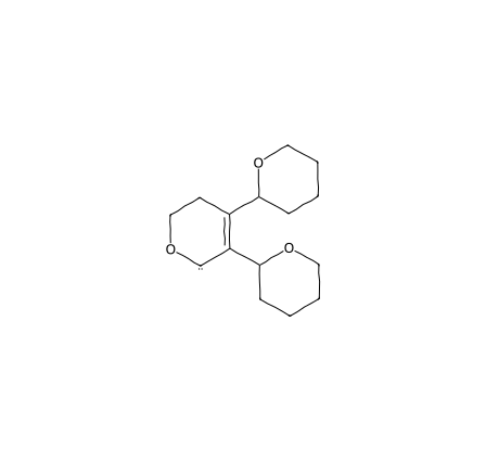 [C]1OCCC(C2CCCCO2)=C1C1CCCCO1